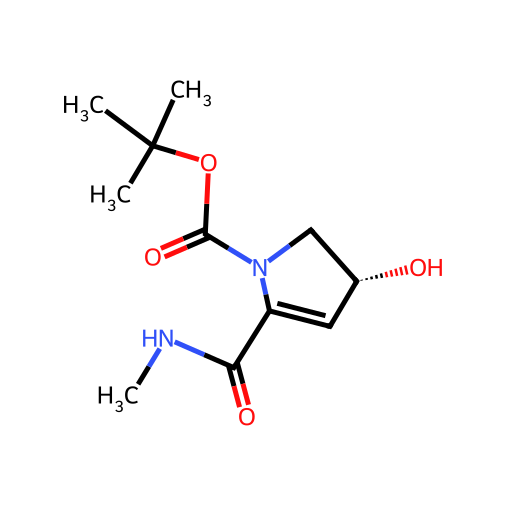 CNC(=O)C1=C[C@@H](O)CN1C(=O)OC(C)(C)C